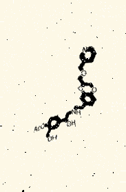 CC(=O)Oc1ccc(C(O)CNCCc2ccc3c(c2)OC(COCc2cccnc2)CO3)cc1CO